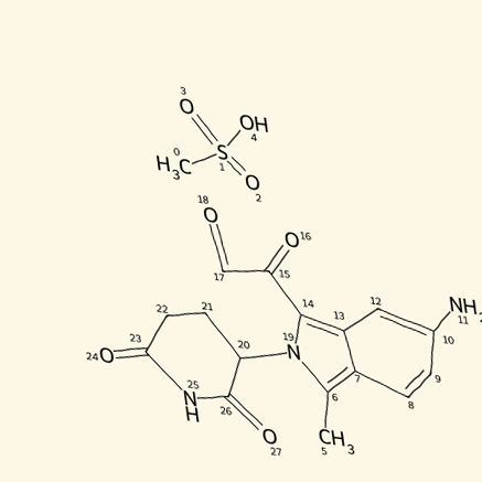 CS(=O)(=O)O.Cc1c2ccc(N)cc2c(C(=O)C=O)n1C1CCC(=O)NC1=O